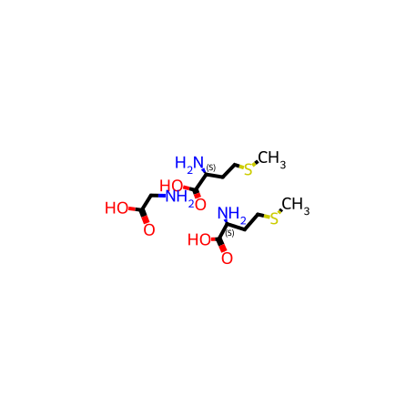 CSCC[C@H](N)C(=O)O.CSCC[C@H](N)C(=O)O.NCC(=O)O